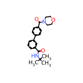 CC(C)(C)NC(=O)c1cccc(-c2ccc(C(=O)N3CCOCC3)cc2)c1